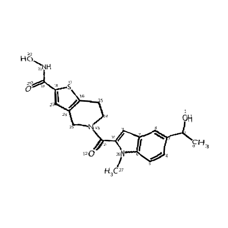 CC(O)c1ccc2c(c1)cc(C(=O)N1CCc3sc(C(=O)NO)cc3C1)n2C